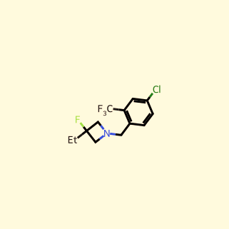 CCC1(F)CN(Cc2ccc(Cl)cc2C(F)(F)F)C1